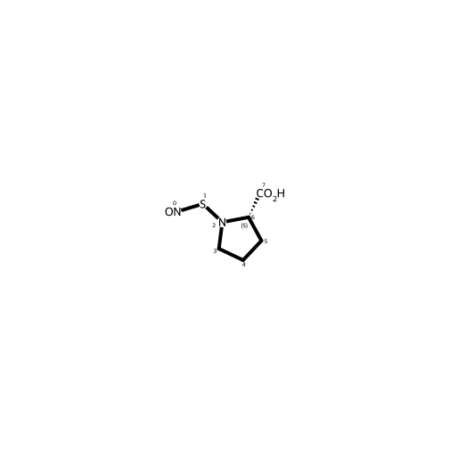 O=NSN1CCC[C@H]1C(=O)O